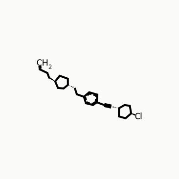 C=CCC[C@H]1CC[C@H](CCc2ccc(C#C[C@H]3CC[C@H](Cl)CC3)cc2)CC1